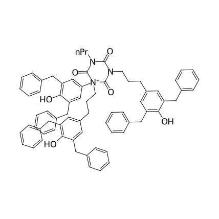 CCCN1C(=O)N(CCCc2cc(Cc3ccccc3)c(O)c(Cc3ccccc3)c2)C(=O)[N+](CCCc2cc(Cc3ccccc3)c(O)c(Cc3ccccc3)c2)(c2cc(Cc3ccccc3)c(O)c(Cc3ccccc3)c2)C1=O